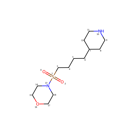 O=S(=O)(CCC[CH]C1CCNCC1)N1CCOCC1